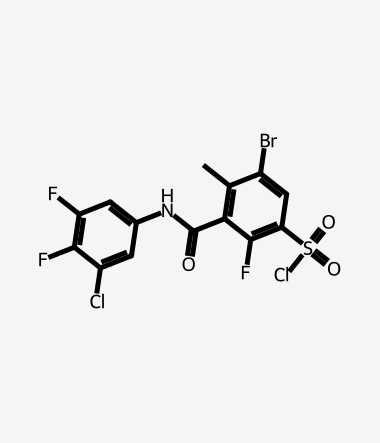 Cc1c(Br)cc(S(=O)(=O)Cl)c(F)c1C(=O)Nc1cc(F)c(F)c(Cl)c1